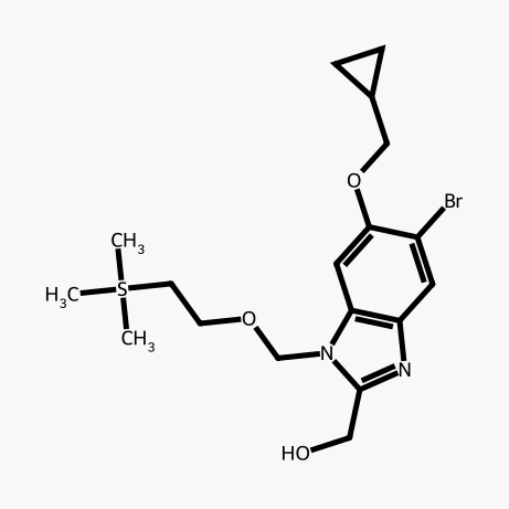 CS(C)(C)CCOCn1c(CO)nc2cc(Br)c(OCC3CC3)cc21